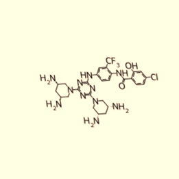 N[C@@H]1C[C@H](N)CN(c2nc(Nc3ccc(NC(=O)c4ccc(Cl)cc4O)c(C(F)(F)F)c3)nc(N3C[C@H](N)C[C@H](N)C3)n2)C1